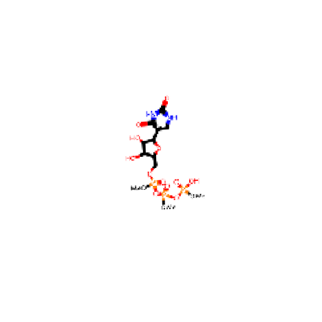 COP(=O)(O)OP(=O)(OC)OP(=O)(OC)OCC1OC(c2c[nH]c(=O)[nH]c2=O)C(O)C1O